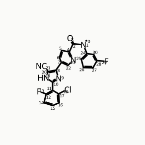 CN(C(=O)c1ccc(-c2nc(-c3c(F)cccc3Cl)[nH]c2C#N)cn1)c1cccc(F)c1